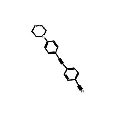 N#Cc1ccc(C#Cc2ccc(N3CCCCC3)cc2)cc1